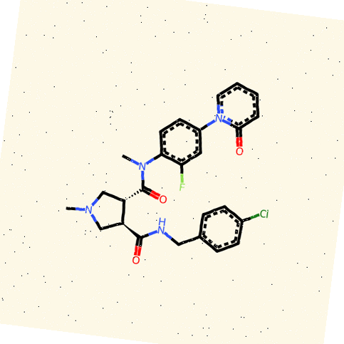 CN1C[C@H](C(=O)NCc2ccc(Cl)cc2)[C@@H](C(=O)N(C)c2ccc(-n3ccccc3=O)cc2F)C1